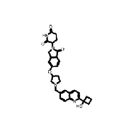 O=C1CCC(N2Cc3cc(OC4CCN(Cc5ccc6nc(C7(O)CCC7)ccc6c5)C4)ccc3C2=O)C(=O)N1